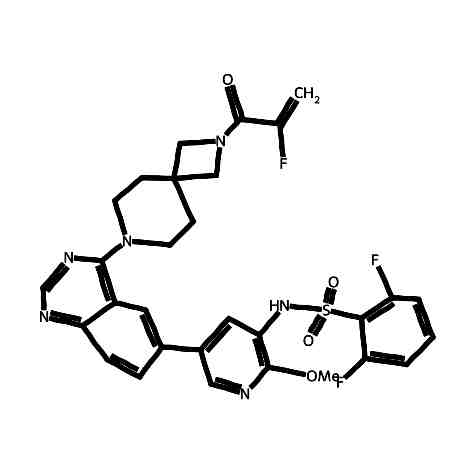 C=C(F)C(=O)N1CC2(CCN(c3ncnc4ccc(-c5cnc(OC)c(NS(=O)(=O)c6c(F)cccc6F)c5)cc34)CC2)C1